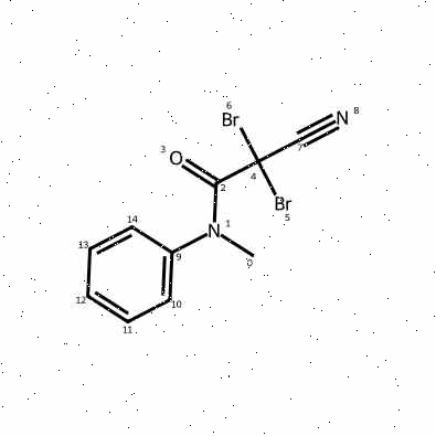 CN(C(=O)C(Br)(Br)C#N)c1ccccc1